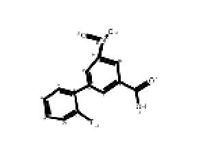 O=C(O)c1cc(-c2ccccc2F)cc([N+](=O)[O-])c1